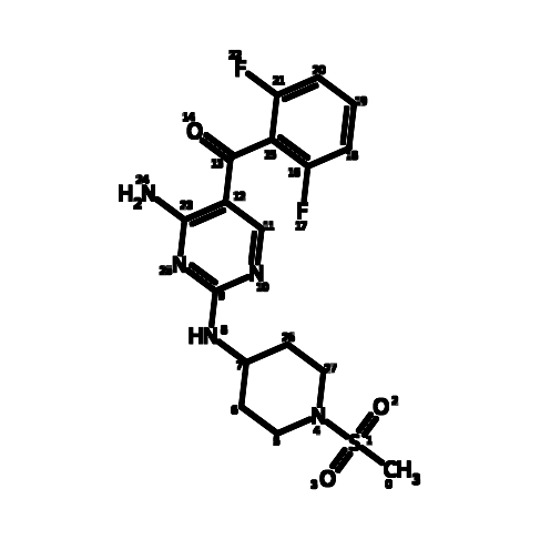 CS(=O)(=O)N1CCC(Nc2ncc(C(=O)c3c(F)cccc3F)c(N)n2)CC1